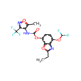 CCc1nc2c(OC(F)F)ccc(OC(=O)Nc3c(C(F)(F)F)noc3C)c2o1